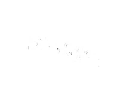 CC1CCCCCC1NC(=O)Nc1cnc2c(ccn2COCC[Si](C)(C)C)n1